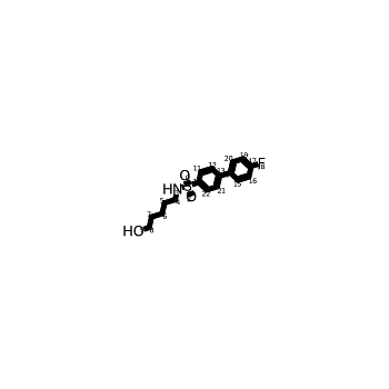 O=S(=O)(NCCCCCO)c1ccc(-c2ccc(F)cc2)cc1